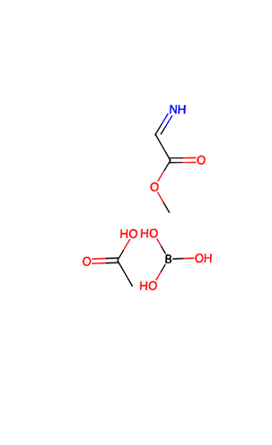 CC(=O)O.COC(=O)C=N.OB(O)O